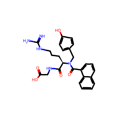 N=C(N)NCCC[C@H](C(=O)NCC(=O)O)N(Cc1ccc(O)cc1)C(=O)c1cccc2ccccc12